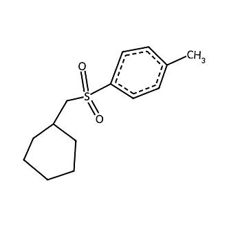 Cc1ccc(S(=O)(=O)CC2CCCCC2)cc1